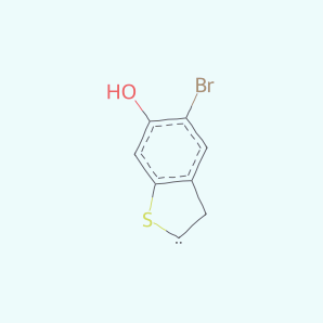 Oc1cc2c(cc1Br)C[C]S2